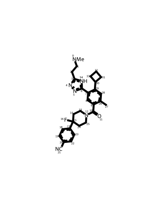 CNCCc1nnc(-c2cc(C(=O)N3CCC(F)(c4ccc(C#N)cc4)CC3)c(C)cc2C2CCC2)[nH]1